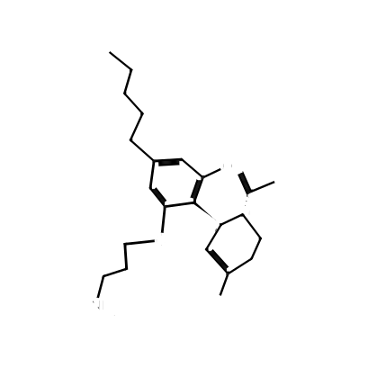 C=C(C)[C@@H]1CCC(C)=C[C@H]1c1c(O)cc(CCCCC)cc1OCCCN